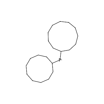 C1CCCCCC([P]C2CCCCCCCCC2)CCCC1